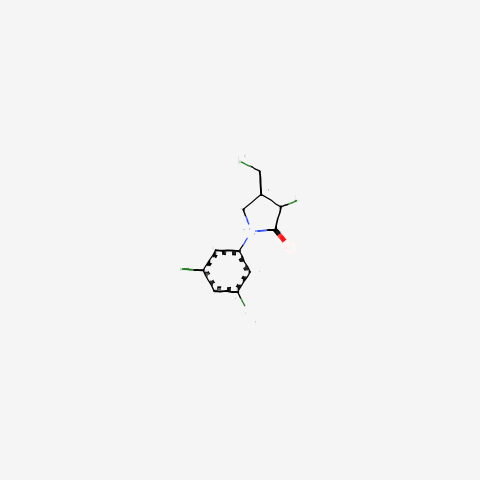 O=C1C(Cl)C(CCl)CN1c1cc(Cl)cc(Cl)c1